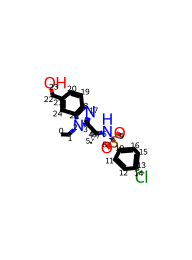 CCn1c([C@@H](C)NS(=O)(=O)c2ccc(Cl)cc2)nc2ccc(CO)cc21